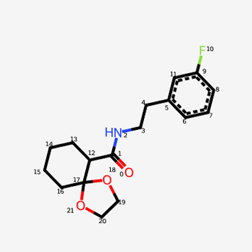 O=C(NCCc1cccc(F)c1)C1CCCCC12OCCO2